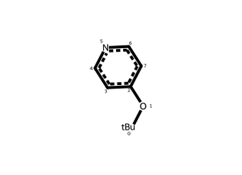 CC(C)(C)Oc1c[c]ncc1